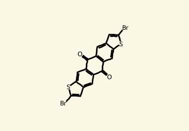 O=C1c2cc3cc(Br)sc3cc2C(=O)c2cc3cc(Br)sc3cc21